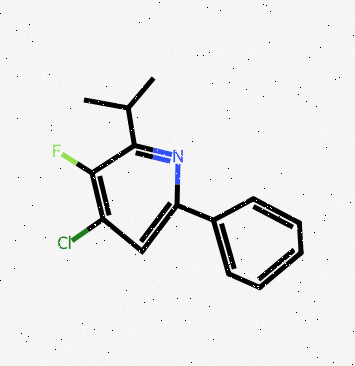 CC(C)c1nc(-c2ccccc2)cc(Cl)c1F